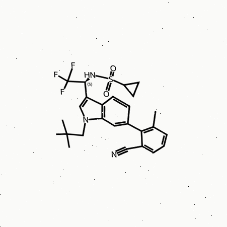 Cc1cccc(C#N)c1-c1ccc2c([C@H](NS(=O)(=O)C3CC3)C(F)(F)F)cn(CC(C)(C)C)c2c1